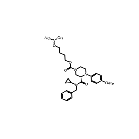 COc1ccc(N2CCN(C(=O)OCCCCON(O)O)C[C@@H]2C(=O)N(Cc2ccccc2)C2CC2)cc1